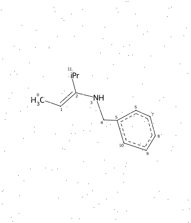 CC=C(NCc1ccccc1)C(C)C